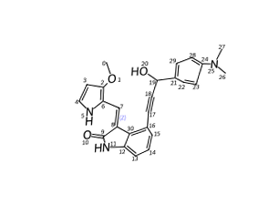 COc1cc[nH]c1/C=C1\C(=O)Nc2cccc(C#CC(O)c3ccc(N(C)C)cc3)c21